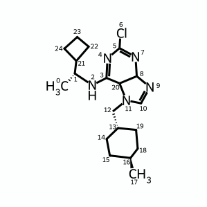 C[C@@H](NC1=NC(Cl)=NC2N=CN(C[C@H]3CC[C@H](C)CC3)C12)C1CCC1